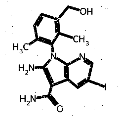 Cc1ccc(CO)c(C)c1-n1c(N)c(C(N)=O)c2cc(I)cnc21